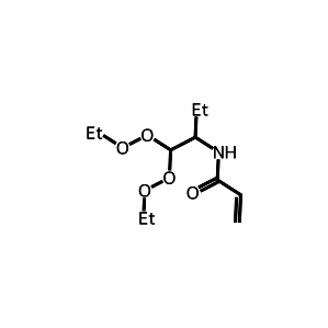 C=CC(=O)NC(CC)C(OOCC)OOCC